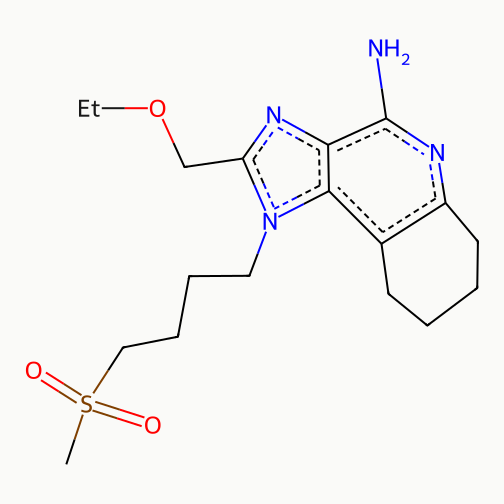 CCOCc1nc2c(N)nc3c(c2n1CCCCS(C)(=O)=O)CCCC3